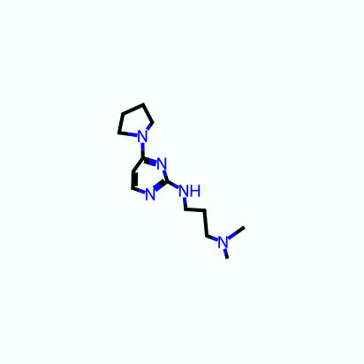 CN(C)CCCNc1nccc(N2CCCC2)n1